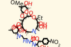 CC[C@H]1OC(=O)[C@H](C)[C@@H](O[C@H]2C[C@@](C)(OC)[C@@H](O)[C@H](C)O2)[C@H](C)[C@@H](O[C@@H]2O[C@H](C)C[C@H](N(C)CCCNC(=O)N[C@H](CO)[C@H](O)c3ccc([N+](=O)[O-])cc3)[C@H]2O)[C@](C)(O)C[C@@H](C)CN(C)[C@H](C)[C@@H](O)[C@]1(C)O